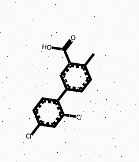 Cc1ccc(-c2ccc(Cl)cc2Cl)cc1C(=O)O